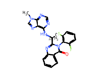 C[C@H](Nc1ncnc2c1ncn2C)c1nc2ccccc2c(=O)n1-c1c(F)cccc1F